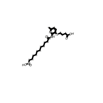 Cc1ccc(SCCCC(=O)O)c(NC(=O)CCCCCCCCCCS(=O)O)n1